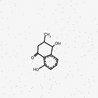 CC1CC(=O)c2c(O)cccc2C1O